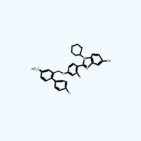 N#Cc1ccc2c(c1)nc(-c1ccc(OCc3cc(C(=O)O)ccc3-c3ccc(Cl)cc3)cc1F)n2C1CCCCC1